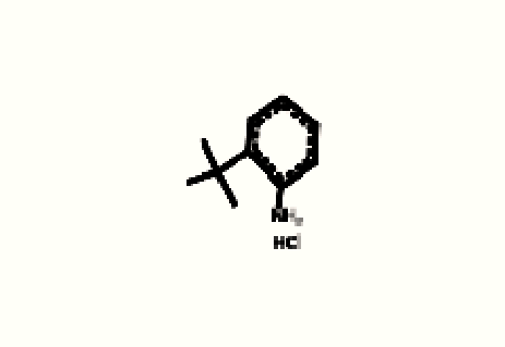 CC(C)(C)c1ccccc1N.Cl